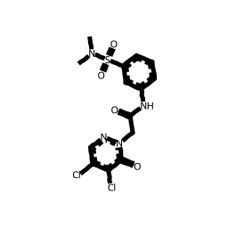 CN(C)S(=O)(=O)c1cccc(NC(=O)Cn2ncc(Cl)c(Cl)c2=O)c1